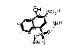 CCCCOS(=O)(=O)c1cc(S(=O)(=O)O)c(O)c2ccccc12.[NaH]